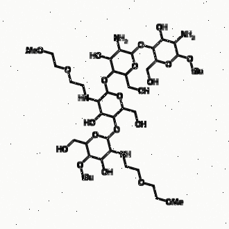 COCCOCCNC1C(OC2C(CO)OC(OC3C(CO)OC(OC(C)(C)C)C(N)C3O)C(N)C2O)OC(CO)C(OC2OC(CO)C(OC(C)(C)C)C(O)C2NCCOCCOC)C1O